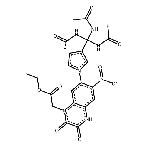 CCOC(=O)Cn1c(=O)c(=O)[nH]c2cc([N+](=O)[O-])c(-n3ccc(C(NC(=O)F)(NC(=O)F)NC(=O)F)c3)cc21